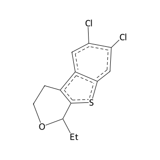 CCC1OCCc2c1sc1cc(Cl)c(Cl)cc21